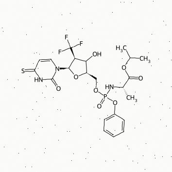 CC(C)OC(=O)[C@H](C)NP(=O)(OC[C@H]1O[C@@H](n2ccc(=S)[nH]c2=O)[C@@H](C(F)(F)F)C1O)Oc1ccccc1